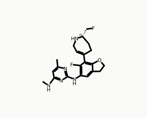 CNc1cc(C)nc(Nc2cc3c(c(C4=CCN[C@H](CF)CC4)c2F)OCC3)n1